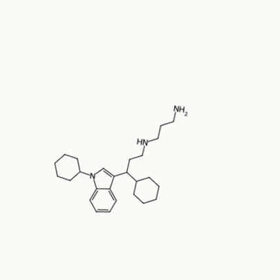 NCCCNCCC(c1cn(C2CCCCC2)c2ccccc12)C1CCCCC1